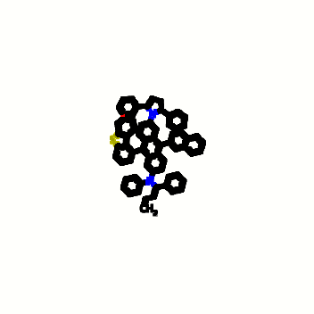 C=C/C=C(/c1ccccc1)N(c1ccccc1)c1ccc2c(-c3ccc4ccccc4c3)c3cc(N4C(c5ccccc5)=CCC4c4ccccc4)ccc3c(-c3cccc4sc5ccccc5c34)c2c1